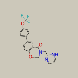 O=C1c2cc(-c3ccc(OC(F)(F)F)cc3)ccc2OCCN1CC1N=CC=CN1